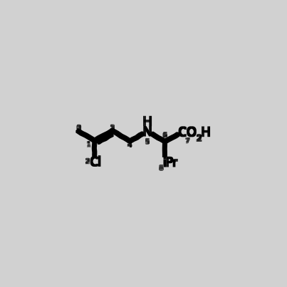 C/C(Cl)=C/CNC(C(=O)O)C(C)C